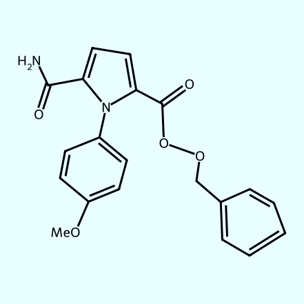 COc1ccc(-n2c(C(N)=O)ccc2C(=O)OOCc2ccccc2)cc1